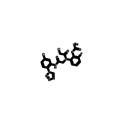 CCCCC(=O)Oc1c(F)cccc1N(CC(=O)Nc1cc(Cl)ccc1-n1cnnn1)C(=O)CCl